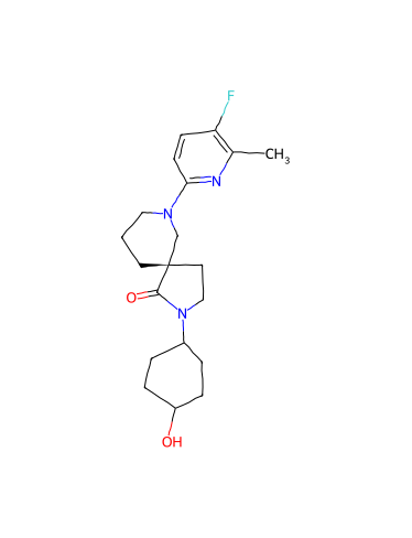 Cc1nc(N2CCC[C@]3(CCN(C4CCC(O)CC4)C3=O)C2)ccc1F